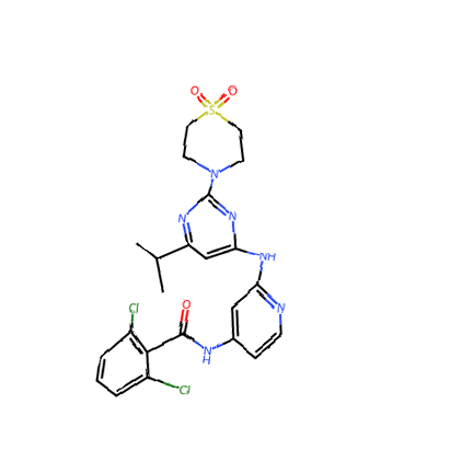 CC(C)c1cc(Nc2cc(NC(=O)c3c(Cl)cccc3Cl)ccn2)nc(N2CCS(=O)(=O)CC2)n1